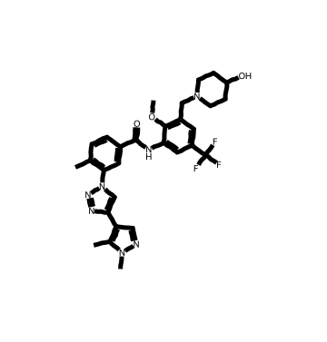 COc1c(CN2CCC(O)CC2)cc(C(F)(F)F)cc1NC(=O)c1ccc(C)c(-n2cc(-c3cnn(C)c3C)nn2)c1